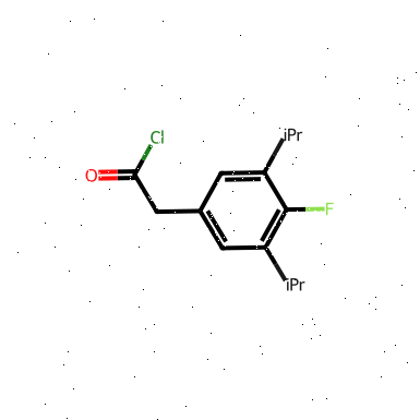 CC(C)c1cc(CC(=O)Cl)cc(C(C)C)c1F